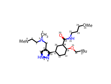 CNCCN(C)Cc1c[nH]nc1[C@@H]1CC[C@H](OCC(C)(C)C)C(C(=O)NCCCOC)C1